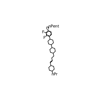 CCCCCOc1ccc(C2CCC(C3CCC(CC/C=C/C4CCC(CCC)CC4)CC3)CC2)c(F)c1F